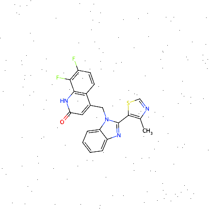 Cc1ncsc1-c1nc2ccccc2n1Cc1cc(=O)[nH]c2c(F)c(F)ccc12